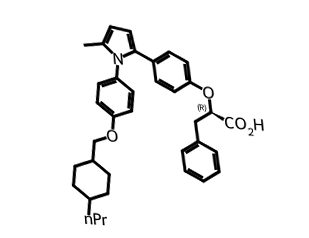 CCCC1CCC(COc2ccc(-n3c(C)ccc3-c3ccc(O[C@H](Cc4ccccc4)C(=O)O)cc3)cc2)CC1